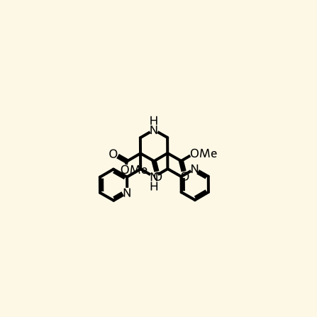 COC(=O)C12CNCC(C(=O)OC)(C1=O)C(c1ccccn1)NC2c1ccccn1